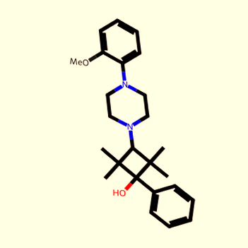 COc1ccccc1N1CCN(C2C(C)(C)C(O)(c3ccccc3)C2(C)C)CC1